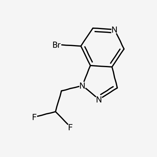 FC(F)Cn1ncc2cncc(Br)c21